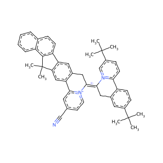 CC(C)(C)c1ccc2c(c1)C/C(=C1/Cc3cc4c(cc3-c3cc(C#N)cc[n+]31)C(C)(C)c1c-4ccc3ccccc13)[n+]1cc(C(C)(C)C)ccc1-2